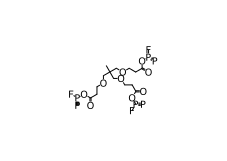 CC(COCCC(=O)OP(F)#P)(COCCC(=O)OP(F)#P)COCCC(=O)OP(F)#P